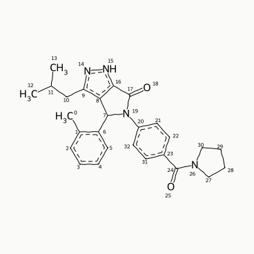 Cc1ccccc1C1c2c(CC(C)C)n[nH]c2C(=O)N1c1ccc(C(=O)N2CCCC2)cc1